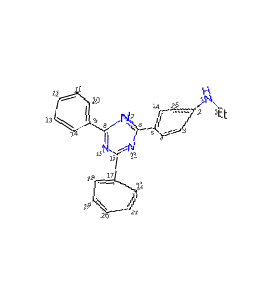 CCNc1ccc(-c2nc(-c3ccccc3)nc(-c3ccccc3)n2)cc1